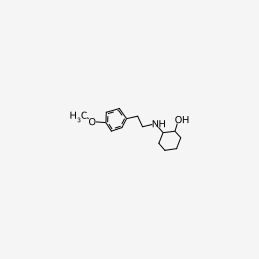 COc1ccc(CCNC2CCCCC2O)cc1